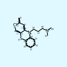 C=C(Cl)/C=C1\C(=C/C)Sc2ccccc2N1CCCN(C)C